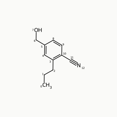 CCCc1cc(CO)ccc1C#N